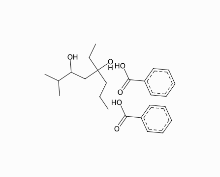 CCCC(O)(CC)CC(O)C(C)C.O=C(O)c1ccccc1.O=C(O)c1ccccc1